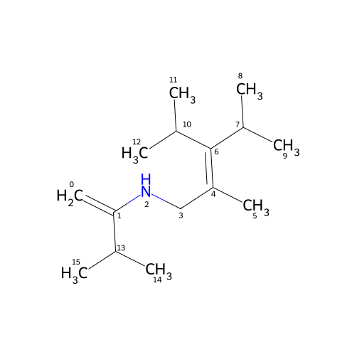 C=C(NCC(C)=C(C(C)C)C(C)C)C(C)C